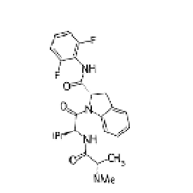 CN[C@@H](C)C(=O)N[C@H](C(=O)N1c2ccccc2C[C@H]1C(=O)Nc1c(F)cccc1F)C(C)C